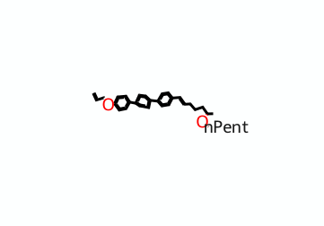 C=CCOc1ccc(-c2ccc(-c3ccc(C=CCCCC(C)OCCCCC)cc3)cc2)cc1